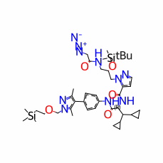 Cc1nn(COCC[Si](C)(C)C)c(C)c1-c1ccc(NC(=O)[C@H](NC(=O)c2ccnn2CC(CNC(=O)CN=[N+]=[N-])O[Si](C)(C)C(C)(C)C)C(C2CC2)C2CC2)cc1